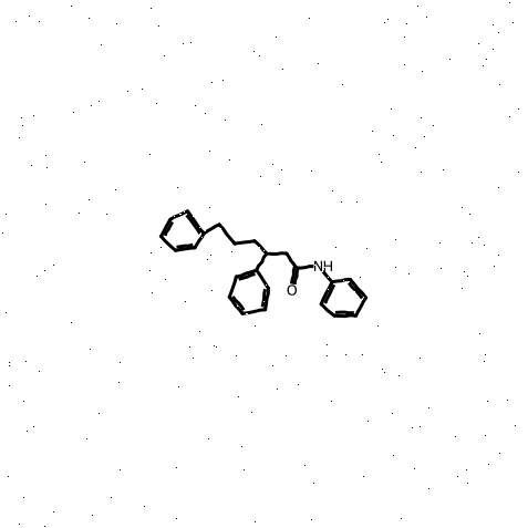 O=C(CC(CCCc1ccccc1)c1ccccc1)Nc1ccccc1